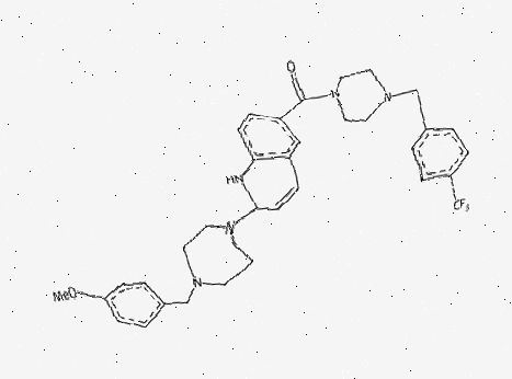 COc1ccc(CN2CCN(C3C=Cc4cc(C(=O)N5CCN(Cc6ccc(C(F)(F)F)cc6)CC5)ccc4N3)CC2)cc1